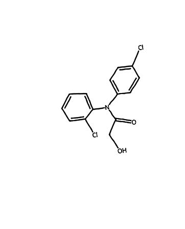 O=C(CO)N(c1ccc(Cl)cc1)c1ccccc1Cl